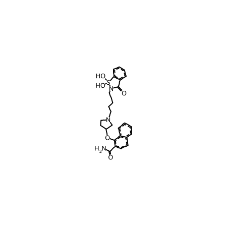 NC(=O)c1ccc2ccccc2c1OC1CCN(CCCCN2C(=O)c3ccccc3S2(O)O)C1